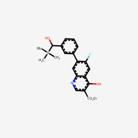 CCOC(=O)c1cnc2cc(-c3cccc(C(O)[Si](C)(C)C(C)(C)C)c3)c(F)cc2c1O